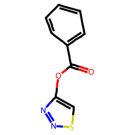 O=C(Oc1csnn1)c1ccccc1